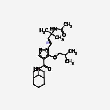 CC(=O)NC(C)(C)/C=C/n1ncc(C(=O)NC2C3CCCC2CCC3)c1OCC(C)C